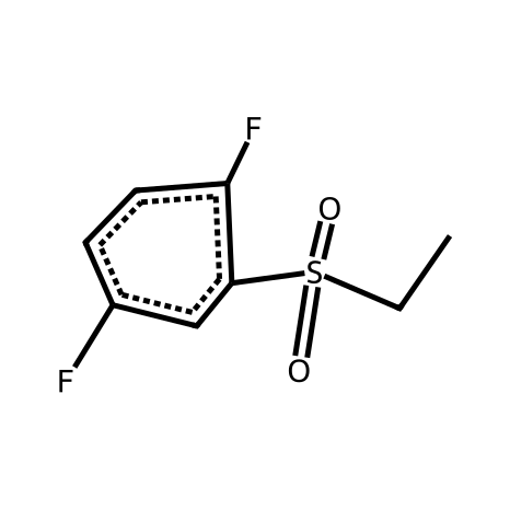 CCS(=O)(=O)c1cc(F)ccc1F